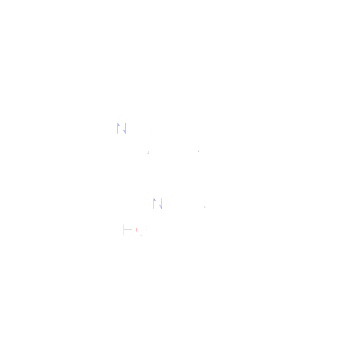 CN(C)Cc1cn(O)c2ccccc12